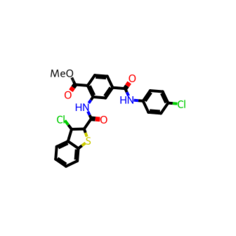 COC(=O)c1ccc(C(=O)Nc2ccc(Cl)cc2)cc1NC(=O)C1Sc2ccccc2C1Cl